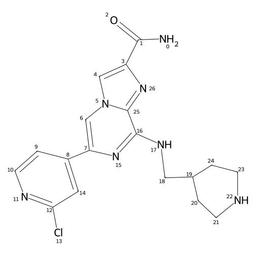 NC(=O)c1cn2cc(-c3ccnc(Cl)c3)nc(NCC3CCNCC3)c2n1